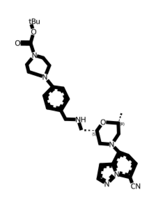 C[C@@H]1CN(c2ccc(C#N)n3nccc23)C[C@H](CNCc2ccc(N3CCN(C(=O)OC(C)(C)C)CC3)cc2)O1